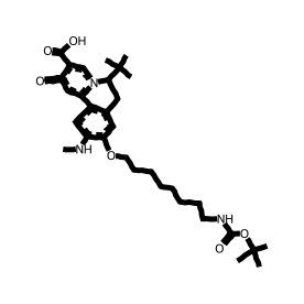 CNc1cc2c(cc1OCCCCCCCCNC(=O)OC(C)(C)C)CC(C(C)(C)C)n1cc(C(=O)O)c(=O)cc1-2